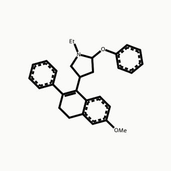 CCN1CC(C2=C(c3ccccc3)CCc3cc(OC)ccc32)CC1Oc1ccccc1